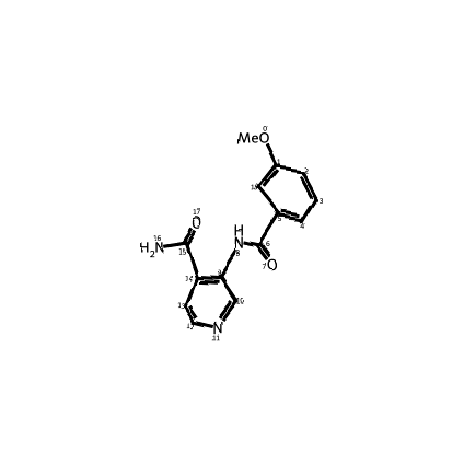 COc1cccc(C(=O)Nc2cnccc2C(N)=O)c1